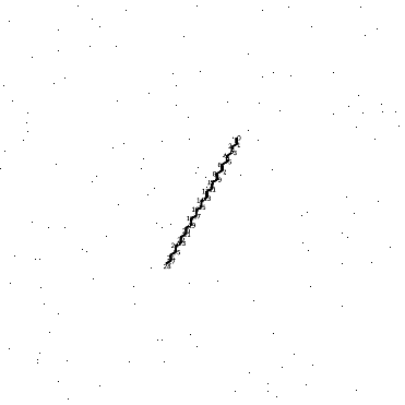 [CH]=CC=CC=CC=CC=CC=CC=CCCCCCCCCCCCCCCC